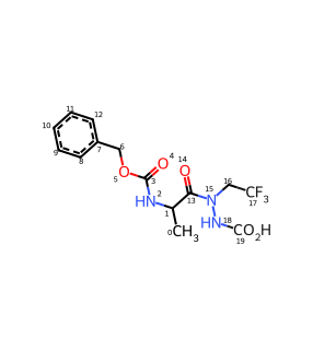 CC(NC(=O)OCc1ccccc1)C(=O)N(CC(F)(F)F)NC(=O)O